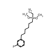 CC[Si](CCCCCCc1cccc(F)c1)(OC)OC